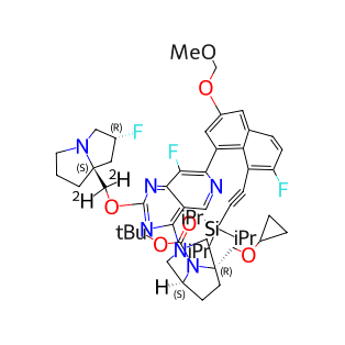 [2H]C([2H])(Oc1nc(N2C[C@@H]3CC[C@](COC4CC4)(C2)N3C(=O)OC(C)(C)C)c2cnc(-c3cc(OCOC)cc4ccc(F)c(C#C[Si](C(C)C)(C(C)C)C(C)C)c34)c(F)c2n1)[C@@]12CCCN1C[C@H](F)C2